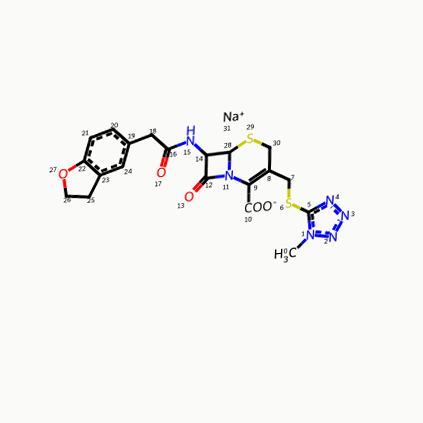 Cn1nnnc1SCC1=C(C(=O)[O-])N2C(=O)C(NC(=O)Cc3ccc4c(c3)CCO4)C2SC1.[Na+]